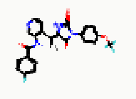 CC(c1ccncc1NC(=O)c1ccc(F)cc1)C1NC(=O)N(c2ccc(OC(F)(F)F)cc2)C1=O